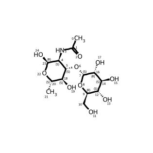 CC(=O)N[C@H]1[C@H](O[C@H]2O[C@H](CO)[C@@H](O)[C@H](O)[C@H]2O)[C@@H](O)[C@H](C)O[C@H]1O